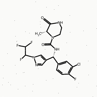 C[C@@H]1C(=O)NCCN1C(=O)N[C@H](c1ccc(F)c(Cl)c1)c1cnn(C(F)C(F)F)c1